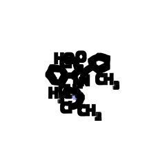 C=C(Cl)/C=C(\C)N1N=C(c2ccccc2C)C(C(=O)O)C1c1c(C)cccc1C